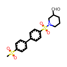 CS(=O)(=O)c1ccc(-c2ccc(S(=O)(=O)N3CCCC(C=O)C3)cc2)cc1